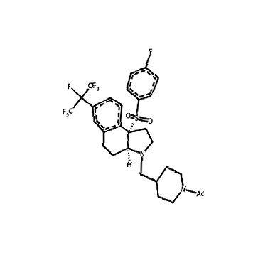 CC(=O)N1CCC(CN2CC[C@]3(S(=O)(=O)c4ccc(F)cc4)c4ccc(C(F)(C(F)(F)F)C(F)(F)F)cc4CC[C@H]23)CC1